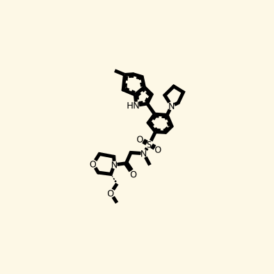 COC[C@@H]1COCCN1C(=O)CN(C)S(=O)(=O)c1ccc(N2CCCC2)c(-c2cc3ccc(C)cc3[nH]2)c1